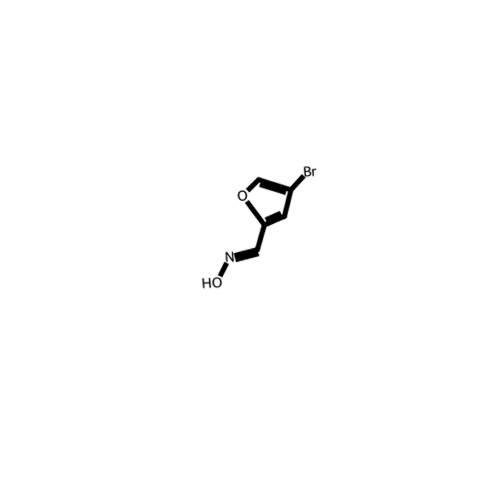 O/N=C/c1cc(Br)co1